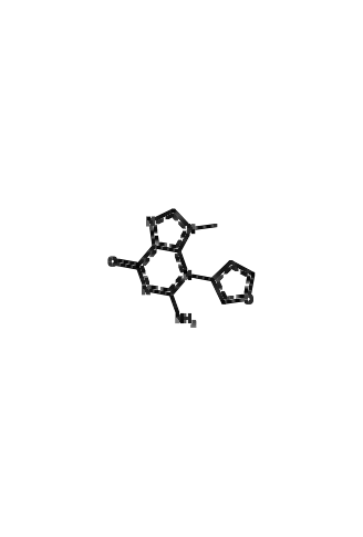 Cn1cnc2c(=O)nc(N)n(-c3ccoc3)c21